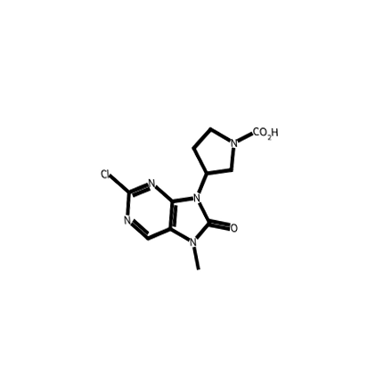 Cn1c(=O)n(C2CCN(C(=O)O)C2)c2nc(Cl)ncc21